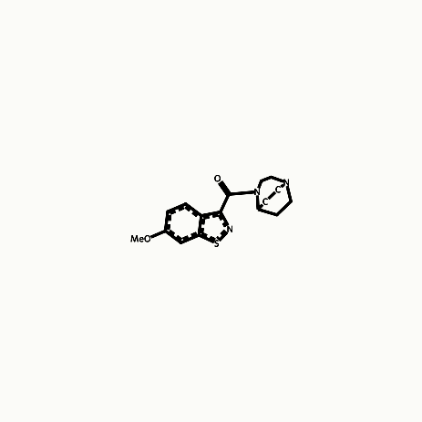 COc1ccc2c(C(=O)N3CCN4CCC3CC4)nsc2c1